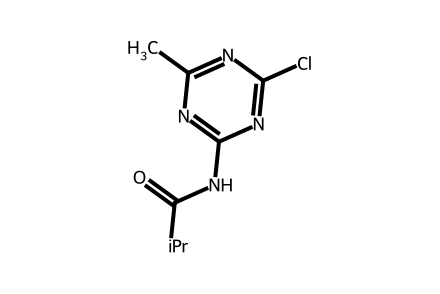 Cc1nc(Cl)nc(NC(=O)C(C)C)n1